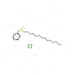 CCCCCCCCCCCCCC[S+](C)Cc1ccccc1.[Cl-]